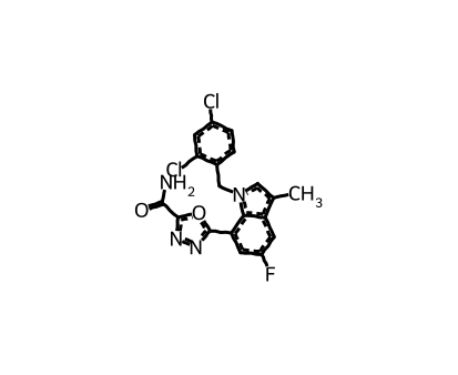 Cc1cn(Cc2ccc(Cl)cc2Cl)c2c(-c3nnc(C(N)=O)o3)cc(F)cc12